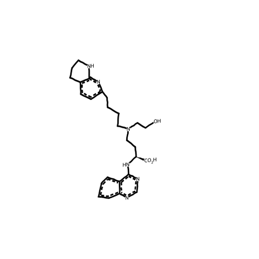 O=C(O)[C@H](CCN(CCO)CCCCc1ccc2c(n1)NCCC2)Nc1ncnc2ccccc12